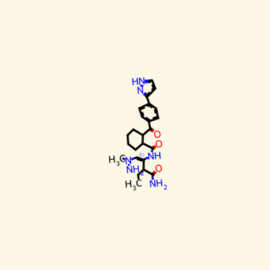 CCC(C(N)=O)/C(=C\N(C)N)NC(=O)C1CCCCC1C(=O)c1ccc(-c2cc[nH]n2)cc1